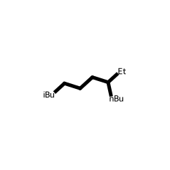 [CH2]C(CC)CCCC(CC)CCCC